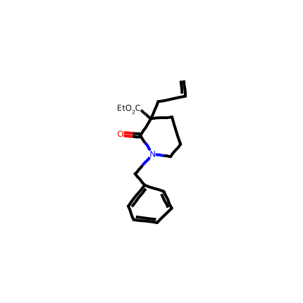 C=CCC1(C(=O)OCC)CCCN(Cc2ccccc2)C1=O